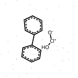 [O-][Cl+]O.c1ccc(-c2ccccc2)cc1